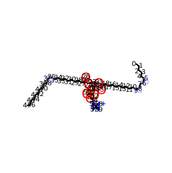 CCCCC/C=C\C/C=C\CCCCCCCCCC(=O)O[C@H](COC(=O)CCCCCCCCC/C=C\CCCCCCCCCC)COP(=O)([O-])OCC[N+](C)(C)C